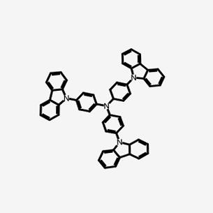 C1=CC2c3ccccc3N(c3ccc(N(c4ccc(-n5c6ccccc6c6ccccc65)cc4)C4C=CC(n5c6ccccc6c6ccccc65)=CC4)cc3)C2C=C1